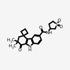 CC1(C)CC2(CCC2)c2c([nH]c3ccc(C(=O)NC4CCS(=O)(=O)C4)cc23)C1=O